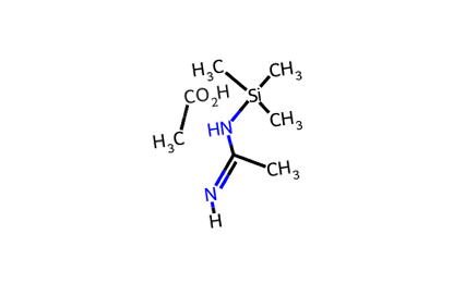 CC(=O)O.[H]/N=C(\C)N[Si](C)(C)C